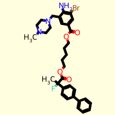 CN1CCN(Cc2cc(C(=O)OCCCCCOC(=O)C(C)(F)c3ccc(-c4ccccc4)cc3)cc(Br)c2N)CC1